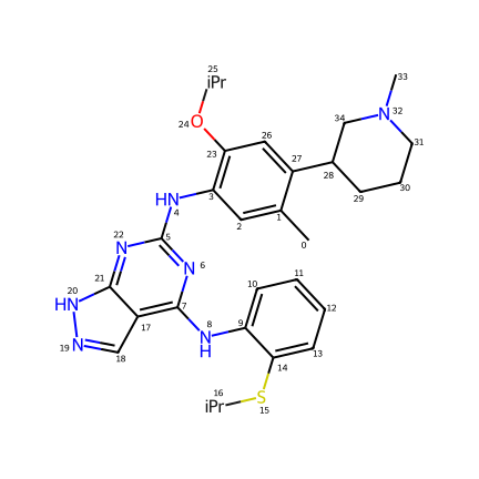 Cc1cc(Nc2nc(Nc3ccccc3SC(C)C)c3cn[nH]c3n2)c(OC(C)C)cc1C1CCCN(C)C1